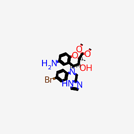 COC(OC)[C@]1(C)Oc2ccc(N)cc2[C@H](N(Cc2ncc[nH]2)c2ccc(Br)cc2)[C@H]1O